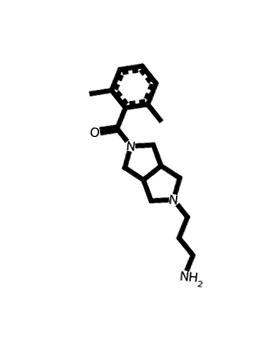 Cc1cccc(C)c1C(=O)N1CC2CN(CCCN)CC2C1